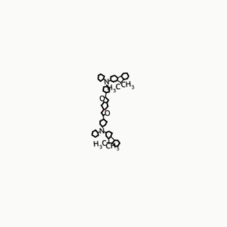 CC1(C)c2ccccc2-c2ccc(N(c3ccccc3)c3ccc(-c4cc5cc6oc(-c7ccc(N(c8ccccc8)c8ccc9c(c8)C(C)(C)c8ccccc8-9)cc7)cc6cc5o4)cc3)cc21